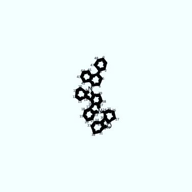 c1ccc(-c2ccc(-n3c4ccccc4c4c5c6ccccc6n(-c6cccc7oc8ccccc8c67)c5ccc43)c3ccccc23)cc1